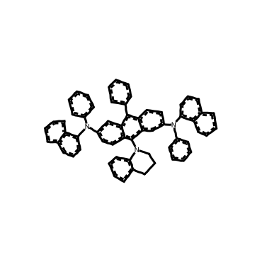 c1ccc(-c2c3cc(N(c4ccccc4)c4cccc5ccccc45)ccc3c(N3CCCc4ccccc43)c3cc(N(c4ccccc4)c4cccc5ccccc45)ccc23)cc1